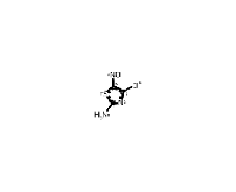 Nc1nc(Cl)c(N=O)s1